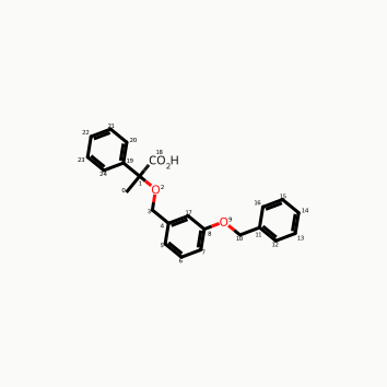 CC(OCc1cccc(OCc2ccccc2)c1)(C(=O)O)c1ccccc1